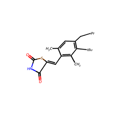 Cc1cc(CC(C)C)c(C(C)(C)C)c(C)c1C=C1SC(=O)NC1=O